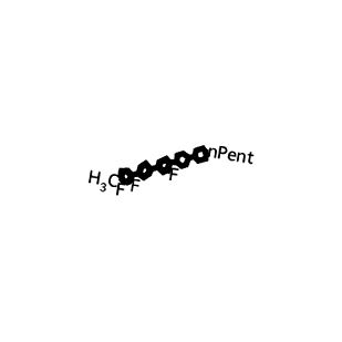 CCCCCC1CCC(C2CCC(c3ccc(-c4ccc(-c5ccc(C)c(F)c5F)cc4)cc3F)CC2)CC1